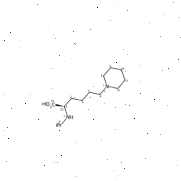 CC(C)N[C@H](CCCCN1CCCCC1)C(=O)O